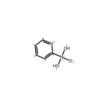 [O-][N+](O)(O)c1ccccn1